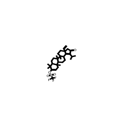 C=CC12CCC3(C)C(CCC4C5(C)CC=C(OS(=O)(=O)C(F)(F)F)C(C)(C)C5CCC43C)C1=C(C(C)C)C(=O)C2